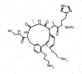 CC(=O)N[C@@H](CCn1cncn1)C(=O)N(C)[C@@H]1C(=O)N[C@@H](C)C(=O)N[C@H](C(=O)NCC#N)Cc2ccc(OCCN)c(c2)-c2cc1ccc2OCCN